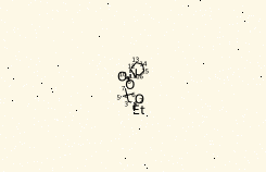 CCC(=O)CC(C)(C)COC(=O)N1CCCCC1